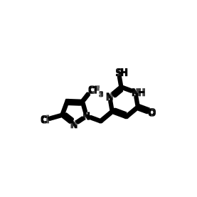 O=c1cc(Cn2nc(Cl)cc2C(F)(F)F)nc(S)[nH]1